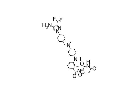 CN(CC1CCC(n2cc(N)c(C(F)F)n2)CC1)C1CCC(Nc2cccc3c2C[N+]([O-])(C2CCC(=O)NC2=O)C3=O)CC1